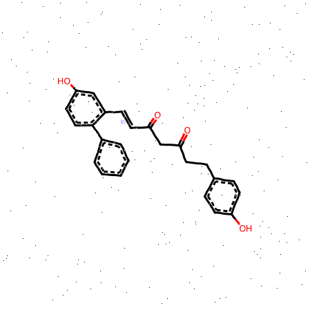 O=C(/C=C/c1cc(O)ccc1-c1ccccc1)CC(=O)CCc1ccc(O)cc1